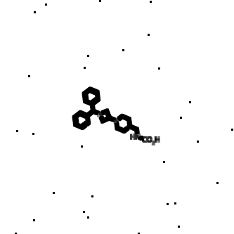 O=C(O)NCC1CCN(C2CN(C(c3ccccc3)c3ccccc3)C2)CC1